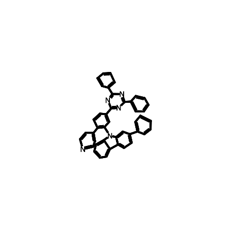 c1ccc(-c2ccc3c4ccccc4n(-c4cc(-c5nc(-c6ccccc6)nc(-c6ccccc6)n5)ccc4-c4ccncc4)c3c2)cc1